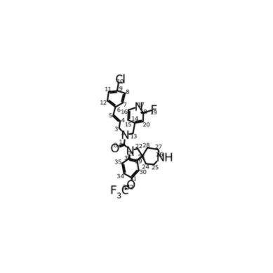 O=C(N(CC=Cc1ccc(Cl)cc1)Cc1ccnc(F)c1)N1CC2(CCNCC2)c2cc(OC(F)(F)F)ccc21